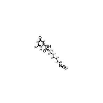 Cc1cc(=O)cc(NC(=O)NCCCCCCN=C=O)[nH]1